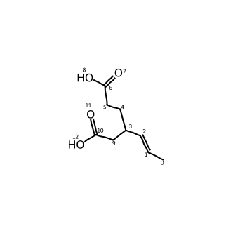 CC=CC(CCC(=O)O)CC(=O)O